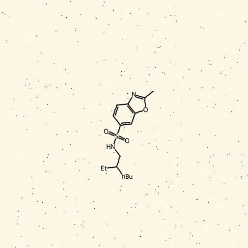 CCCCC(CC)CNS(=O)(=O)c1ccc2nc(C)oc2c1